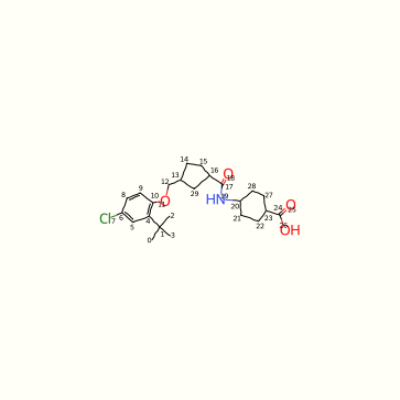 CC(C)(C)c1cc(Cl)ccc1OCC1CCC(C(=O)NC2CCC(C(=O)O)CC2)C1